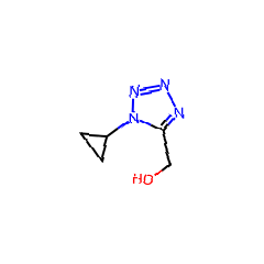 OCc1nnnn1C1CC1